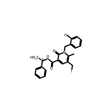 Cc1c(CI)cc(C(=O)N[C@H](C(=O)O)c2ccccc2)c(=O)n1Cc1ccccc1Cl